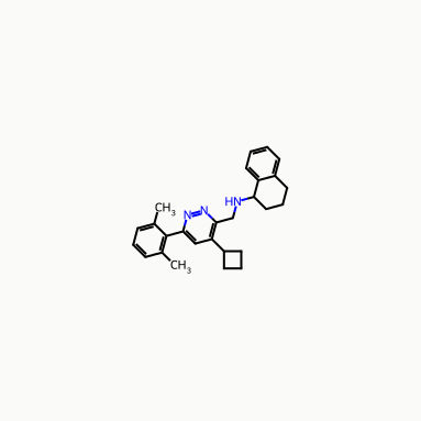 Cc1cccc(C)c1-c1cc(C2CCC2)c(CNC2CCCc3ccccc32)nn1